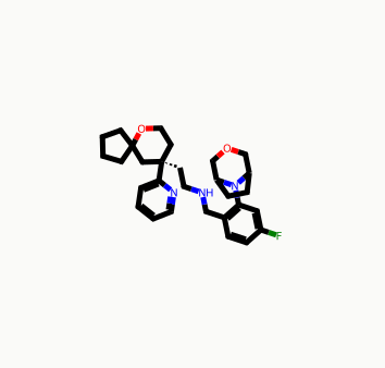 Fc1ccc(CNCC[C@@]2(c3ccccn3)CCOC3(CCCC3)C2)c(N2C3CCC2COC3)c1